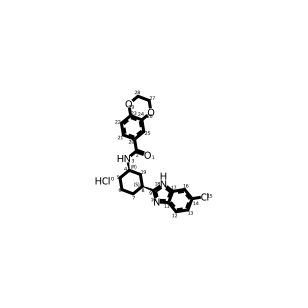 Cl.O=C(N[C@@H]1CCC[C@H](c2nc3ccc(Cl)cc3[nH]2)C1)c1ccc2c(c1)OCCO2